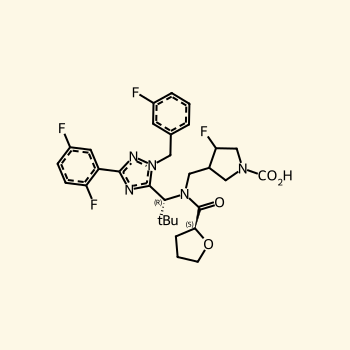 CC(C)(C)[C@H](c1nc(-c2cc(F)ccc2F)nn1Cc1cccc(F)c1)N(CC1CN(C(=O)O)CC1F)C(=O)[C@@H]1CCCO1